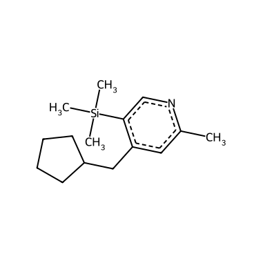 Cc1cc(CC2CCCC2)c([Si](C)(C)C)cn1